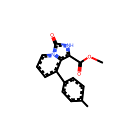 COC(=O)c1[nH]c(=O)n2cccc(-c3ccc(C)cc3)c12